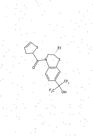 CC[C@H]1CN(C(=O)C2CC=CS2)c2ccc(C(O)(C(F)(F)F)C(F)(F)F)cc2S1